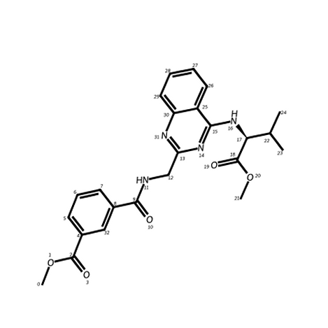 COC(=O)c1cccc(C(=O)NCc2nc(N[C@H](C(=O)OC)C(C)C)c3ccccc3n2)c1